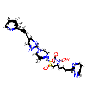 O=CN(O)C(CCCc1ncccn1)CS(=O)(=O)N1CCN(c2ncc(C#Cc3ccccn3)cn2)CC1